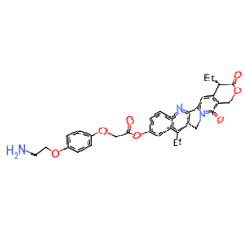 CCc1c2c(nc3ccc(OC(=O)COc4ccc(OCCN)cc4)cc13)-c1cc3c(c(=O)n1C2)COC(=O)[C@@H]3CC